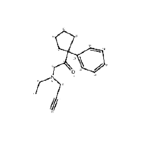 C#CCN(CC)CC(=O)C1(c2ccccc2)CCCC1